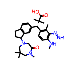 CNc1ccc([C@H](c2ccc3c(c2)[C@@H](N2CC(=O)N(C)CC(C)(C)C2)CC3)C(C)(C)C(=O)O)c(C)c1N=N